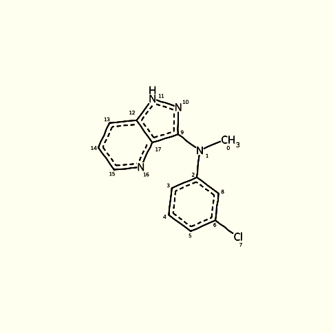 CN(c1cccc(Cl)c1)c1n[nH]c2cccnc12